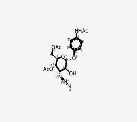 CC(=O)Nc1ccc(O[C@H]2O[C@H](COC(C)=O)[C@@H](OC(C)=O)[C@@H](N=[N+]=[N-])[C@@H]2O)cc1